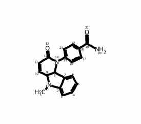 CN1c2ccccc2C2C1C=CC(=O)N2c1ccc(C(N)=O)cc1